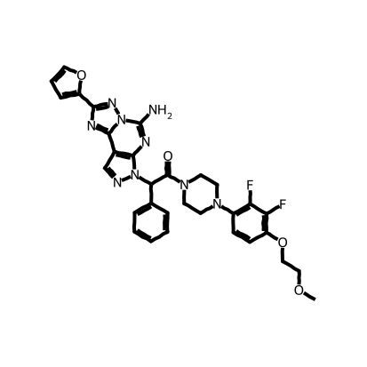 COCCOc1ccc(N2CCN(C(=O)C(c3ccccc3)n3ncc4c3nc(N)n3nc(-c5ccco5)nc43)CC2)c(F)c1F